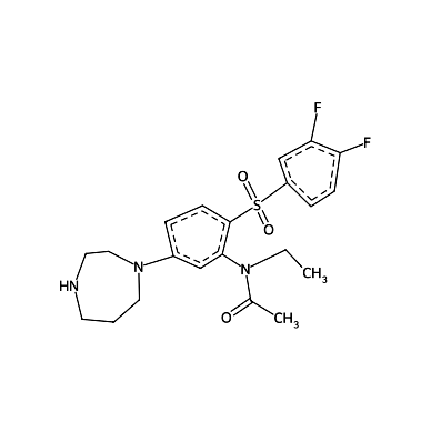 CCN(C(C)=O)c1cc(N2CCCNCC2)ccc1S(=O)(=O)c1ccc(F)c(F)c1